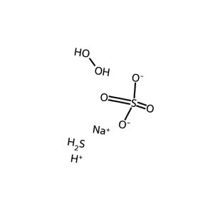 O=S(=O)([O-])[O-].OO.S.[H+].[Na+]